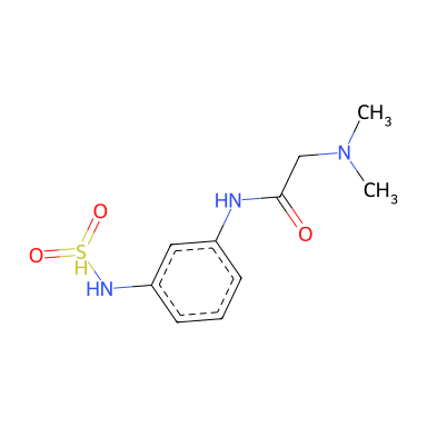 CN(C)CC(=O)Nc1cccc(N[SH](=O)=O)c1